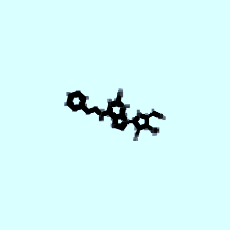 [O]C[C@H]1O[C@@H](n2cnc3c(NCCc4ccccc4)nc(Cl)nc32)[C@@H](F)[C@@H]1O